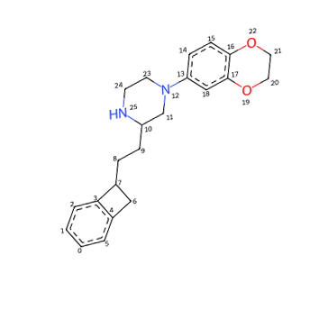 c1ccc2c(c1)CC2CCC1CN(c2ccc3c(c2)OCCO3)CCN1